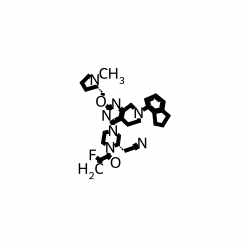 C=C(F)C(=O)N1CCN(c2nc(OC[C@@H]3CCCN3C)nc3c2CCN(c2cccc4c2CCC4)C3)C[C@@H]1CC#N